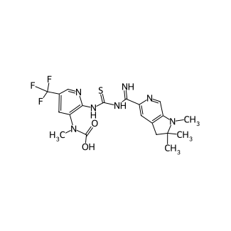 CN(C(=O)O)c1cc(C(F)(F)F)cnc1NC(=S)NC(=N)c1cc2c(cn1)N(C)C(C)(C)C2